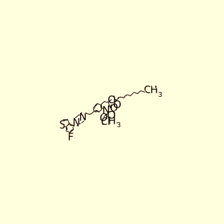 CCCCCCCCCC(=O)OC1Cc2ccc(CCN3CCN(c4cc(F)cc5sccc45)CC3)cc2N(C(=O)OC)C1=O